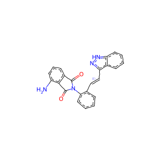 Nc1cccc2c1C(=O)N(c1ccccc1/C=C/c1n[nH]c3ccccc13)C2=O